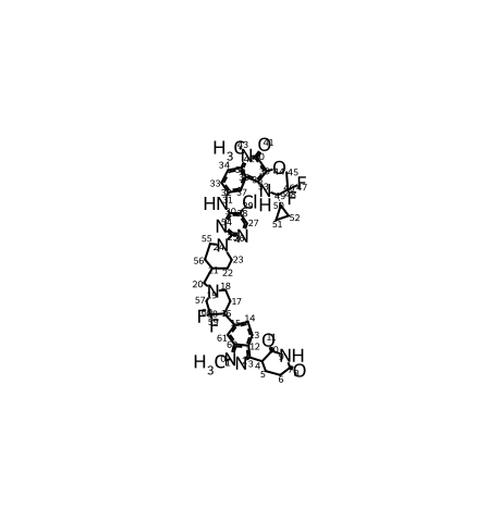 Cn1nc(C2CCC(=O)NC2=O)c2ccc(C3CCN(CC4CCN(c5ncc(Cl)c(Nc6ccc7c(c6)c6c(c(=O)n7C)OCC(F)(F)[C@H](C7CC7)N6)n5)CC4)CC3(F)F)cc21